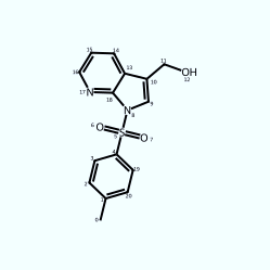 Cc1ccc(S(=O)(=O)n2cc(CO)c3cccnc32)cc1